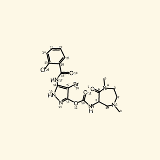 CN1CCN(C)C(=O)C(NC(=O)Oc2n[nH]c(NC(=O)c3ccccc3Cl)c2Br)C1